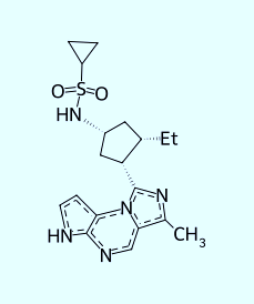 CC[C@H]1C[C@@H](NS(=O)(=O)C2CC2)C[C@H]1c1nc(C)c2cnc3[nH]ccc3n12